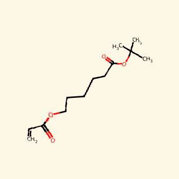 C=CC(=O)OCCCCCC(=O)OC(C)(C)C